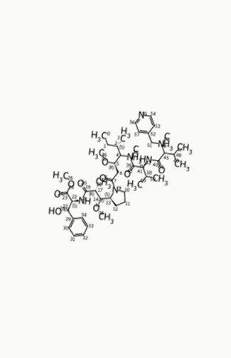 CC[C@H](C)C([C@@H](CC(=O)N1CCC[C@H]1[C@H](OC)[C@@H](C)C(=O)N[C@H](C(=O)OC)[C@@H](O)c1ccccc1)OC)N(C)C(=O)[C@@H](NC(=O)C(C(C)C)N(C)Cc1ccncc1)C(C)C